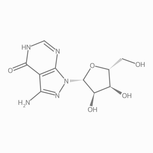 Nc1nn([C@@H]2O[C@H](CO)[C@@H](O)[C@H]2O)c2nc[nH]c(=O)c12